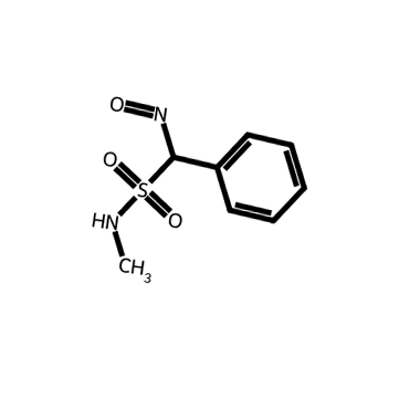 CNS(=O)(=O)C(N=O)c1ccccc1